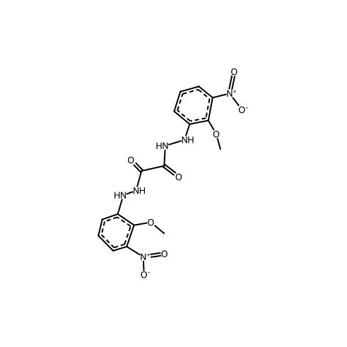 COc1c(NNC(=O)C(=O)NNc2cccc([N+](=O)[O-])c2OC)cccc1[N+](=O)[O-]